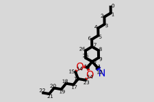 CCCCCCCC1CCC(C#N)(C2OCC(CCCCCC)CO2)CC1